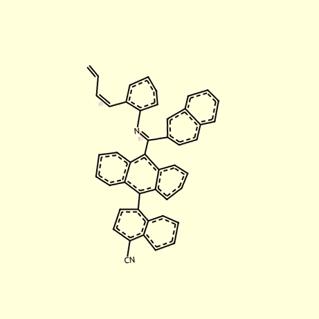 C=C/C=C\c1ccccc1/N=C(\c1ccc2ccccc2c1)c1c2ccccc2c(-c2ccc(C#N)c3ccccc23)c2ccccc12